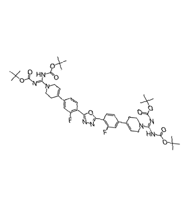 CC(C)(C)OC(=O)/N=C(/NC(=O)OC(C)(C)C)N1CC=C(c2ccc(-c3nnc(-c4ccc(C5=CCN(/C(=N/C(=O)OC(C)(C)C)NC(=O)OC(C)(C)C)CC5)cc4F)o3)c(F)c2)CC1